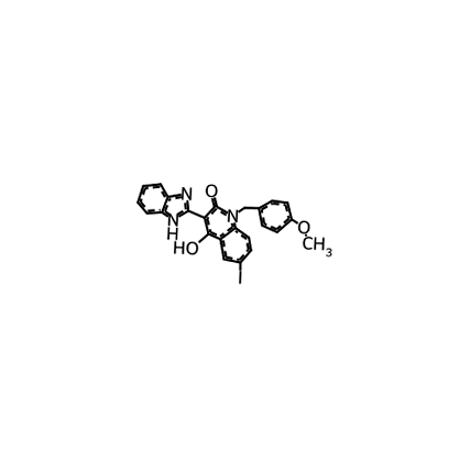 COc1ccc(Cn2c(=O)c(-c3nc4ccccc4[nH]3)c(O)c3cc(I)ccc32)cc1